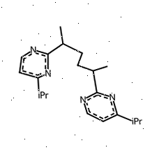 CC(C)c1ccnc(C(C)CCC(C)c2nccc(C(C)C)n2)n1